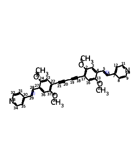 COc1cc(/C=C/c2ccncc2)c(OC)cc1C#CC#Cc1cc(OC)c(/C=C/c2ccncc2)cc1OC